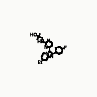 CCc1ccn2c(-c3ccnc(NCC(C)(C)O)n3)c(-c3ccc(F)cc3)nc2c1